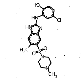 Cc1cc2[nH]c(Nc3cc(Cl)ccc3O)nc2cc1S(=O)(=O)N1CCN(C)CC1